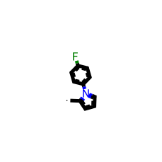 [CH2]c1cccn1-c1ccc(F)cc1